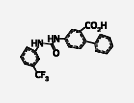 O=C(Nc1cccc(C(F)(F)F)c1)Nc1ccc(-c2ccccc2)c(C(=O)O)c1